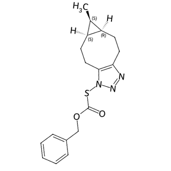 C[C@H]1[C@H]2CCc3nnn(SC(=O)OCc4ccccc4)c3CC[C@@H]12